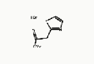 Br.COC(=O)Cc1nccs1